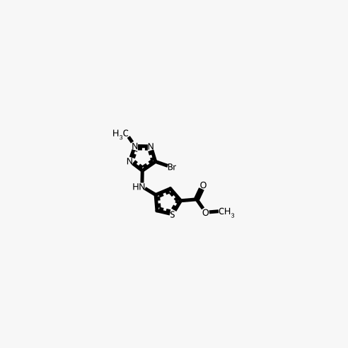 COC(=O)c1cc(Nc2nn(C)nc2Br)cs1